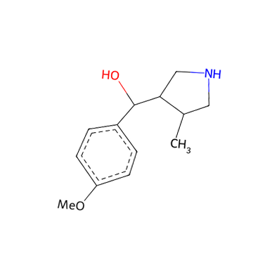 COc1ccc(C(O)C2CNCC2C)cc1